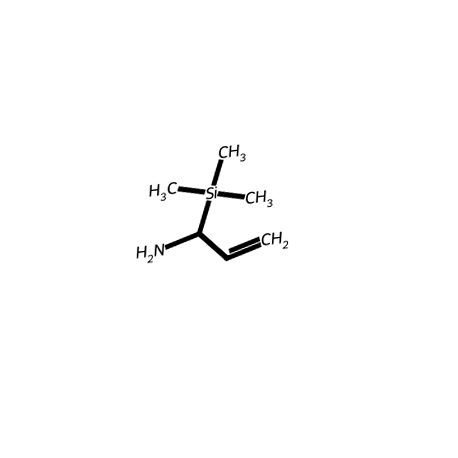 C=CC(N)[Si](C)(C)C